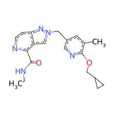 CCNC(=O)c1nccc2nn(Cc3cnc(OCC4CC4)c(C)c3)cc12